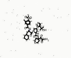 Cc1cc(C(=O)/N=C(\CC2CCCCC2)C(=O)N2C[C@@H](n3nncc3C(C)(C)O)C[C@H]2C(=O)NC2(C(=O)C(N)=O)CCOCC2)ccc1S(C)(=O)=O